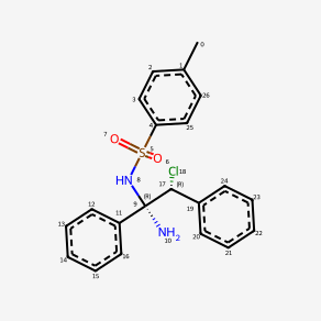 Cc1ccc(S(=O)(=O)N[C@](N)(c2ccccc2)[C@H](Cl)c2ccccc2)cc1